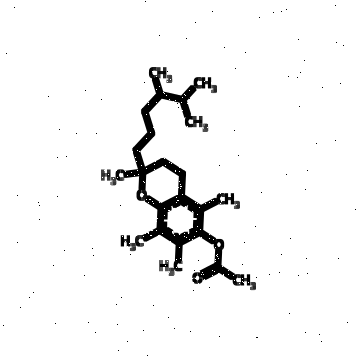 CC(=O)Oc1c(C)c(C)c2c(c1C)CCC(C)(CCCC(C)C(C)C)O2